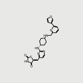 O=C1NC(=O)C(=Cc2ccnc(N[C@H]3CC[C@H](NCc4cccc(-c5ccoc5)n4)CC3)n2)S1